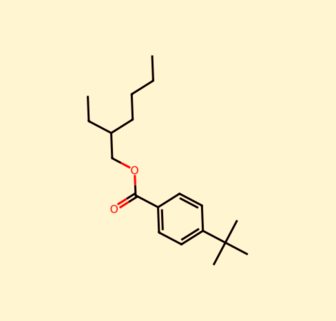 CCCCC(CC)COC(=O)c1ccc(C(C)(C)C)cc1